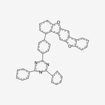 c1ccc(-c2nc(-c3ccccc3)nc(-c3ccc(-c4cccc5oc6cc7c(cc6c45)oc4ccccc47)cc3)n2)cc1